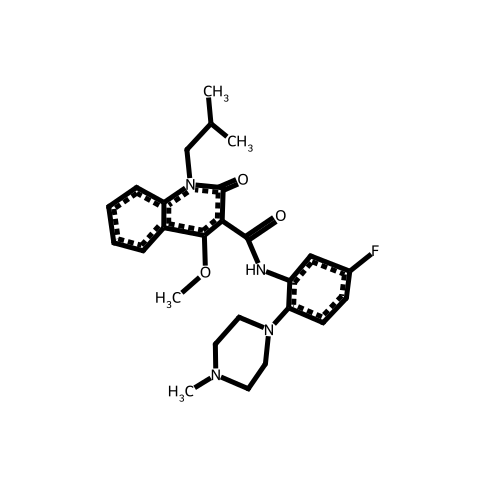 COc1c(C(=O)Nc2cc(F)ccc2N2CCN(C)CC2)c(=O)n(CC(C)C)c2ccccc12